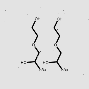 CCCCC(O)COCCO.CCCCC(O)COCCO